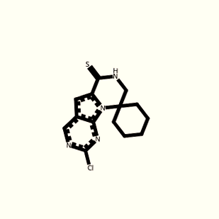 S=C1NCC2(CCCCC2)n2c1cc1cnc(Cl)nc12